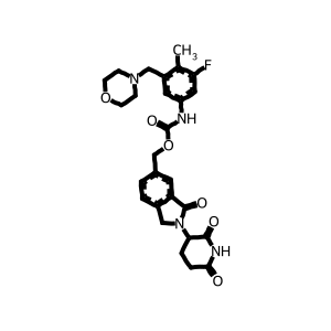 Cc1c(F)cc(NC(=O)OCc2ccc3c(c2)C(=O)N(C2CCC(=O)NC2=O)C3)cc1CN1CCOCC1